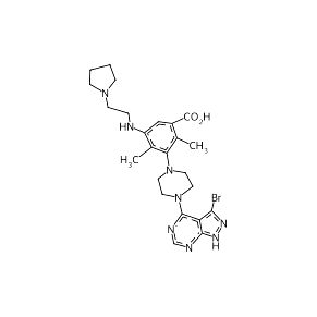 Cc1c(NCCN2CCCC2)cc(C(=O)O)c(C)c1N1CCN(c2ncnc3[nH]nc(Br)c23)CC1